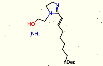 CCCCCCCCCCCCCCCC=CC1=NCCN1CCO.N